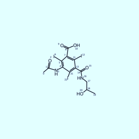 CC(=O)Nc1c(I)c(C(=O)O)c(I)c(C(=O)NCC(C)O)c1I